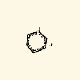 [Li+].c1cc[siH]cc1